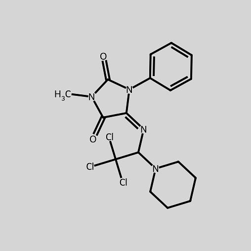 CN1C(=O)C(=NC(N2CCCCC2)C(Cl)(Cl)Cl)N(c2ccccc2)C1=O